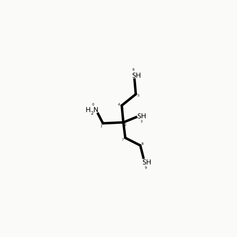 NCC(S)(CCS)CCS